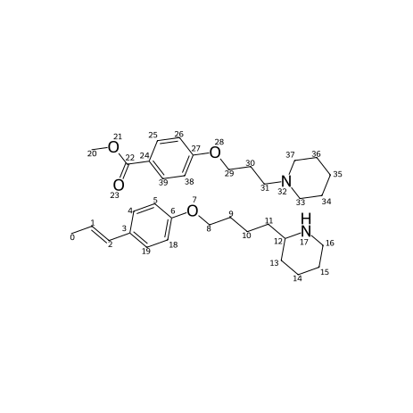 CC=Cc1ccc(OCCCCC2CCCCN2)cc1.COC(=O)c1ccc(OCCCN2CCCCC2)cc1